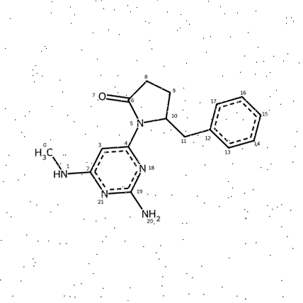 CNc1cc(N2C(=O)CCC2Cc2ccccc2)nc(N)n1